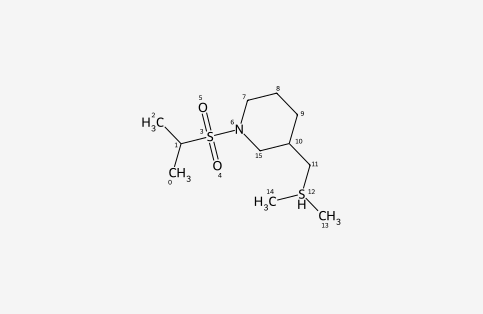 CC(C)S(=O)(=O)N1CCCC(C[SH](C)C)C1